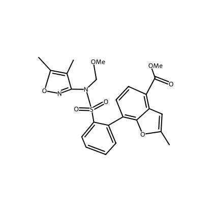 COCN(c1noc(C)c1C)S(=O)(=O)c1ccccc1-c1ccc(C(=O)OC)c2cc(C)oc12